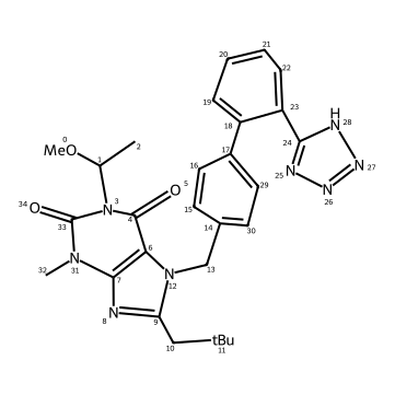 COC(C)n1c(=O)c2c(nc(CC(C)(C)C)n2Cc2ccc(-c3ccccc3-c3nnn[nH]3)cc2)n(C)c1=O